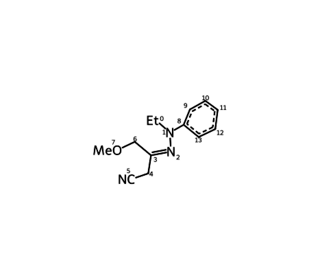 CCN(N=C(CC#N)COC)c1ccccc1